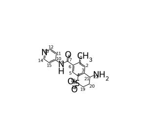 Cc1cc2c(cc1C(=O)Nc1ccncc1)S(=O)(=O)CCC2N